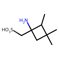 CC1C(C)(C)CC1(N)CS(=O)(=O)O